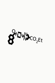 CCOC(=O)c1cnc(N2CCN(C(=O)c3ccc4ccccc4c3)CC2)nc1